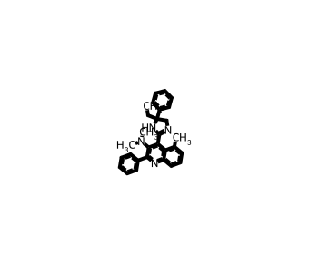 CCC1(c2ccccc2)CN=C(c2c(N(C)C)c(-c3ccccc3)nc3cccc(C)c23)N1